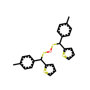 Cc1ccc(C(SOSC(c2ccc(C)cc2)c2cccs2)c2cccs2)cc1